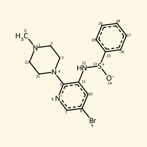 CN1CCN(c2ncc(Br)cc2N[S+]([O-])c2ccccc2)CC1